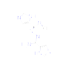 C=N/C(=N\N=C(/N)c1cnc[nH]1)c1cnc[nH]1